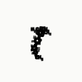 CN1CC2(CCN(c3ccc(B4OC(C)(C)C(C)(C)O4)cc3)C2)C1